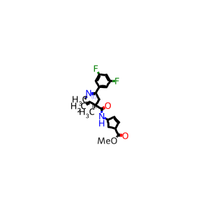 C=C[C@@](C)(C/C(=N\C)c1cc(F)cc(F)c1)C(=O)NC1C=CC(C(=O)OC)C1